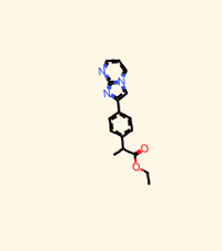 CCOC(=O)C(C)c1ccc(-c2cn3cccnc3n2)cc1